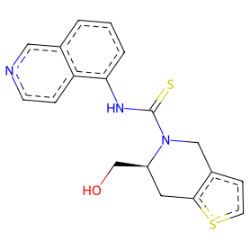 OC[C@@H]1Cc2sccc2CN1C(=S)Nc1cccc2cnccc12